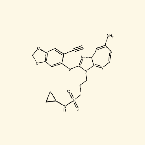 C#Cc1cc2c(cc1SC1=NC3C=C(N)N=CN=C3N1CCCS(=O)(=O)NC1CC1)OCO2